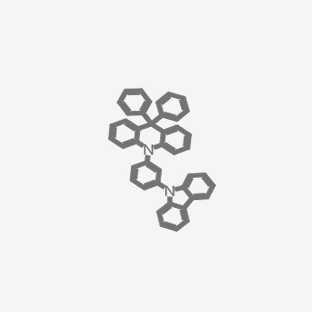 c1ccc(C2(c3ccccc3)c3ccccc3N(c3cccc(-n4c5ccccc5c5ccccc54)c3)c3ccccc32)cc1